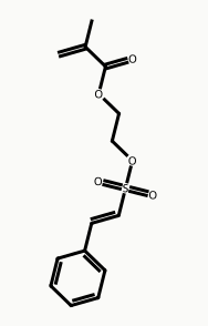 C=C(C)C(=O)OCCOS(=O)(=O)C=Cc1ccccc1